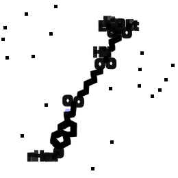 CCCCCCOc1ccc2cc(/C=C/C(=O)OCCCCCCOC(=O)NCCC[Si](OCC)(OCC)OCC)ccc2c1